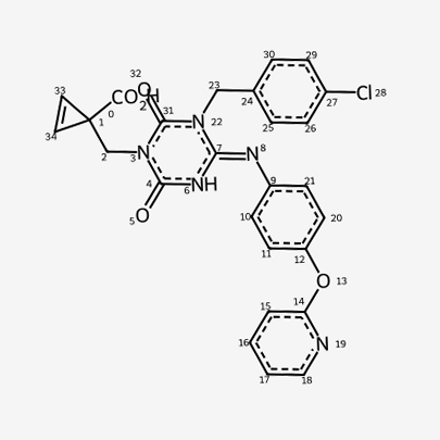 O=C(O)C1(Cn2c(=O)[nH]/c(=N\c3ccc(Oc4ccccn4)cc3)n(Cc3ccc(Cl)cc3)c2=O)C=C1